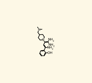 CN(C)CC1CCN(C(/C=C(\N)c2ccccc2O)=C(N)N)CC1